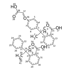 CC(C)(c1ccccc1)c1ccccc1C(=O)O.CC(C)(c1ccccc1)c1ccccc1C(=O)O.O=CC(=O)O.[Ti]